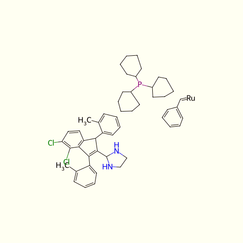 C1CCC(P(C2CCCCC2)C2CCCCC2)CC1.Cc1ccccc1C1=C(C2NCCN2)C(c2ccccc2C)c2ccc(Cl)c(Cl)c21.[Ru]=[CH]c1ccccc1